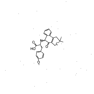 COc1ccc(C[C@H](N=C2C(=O)C3=C(CC(C)(C)CC3)c3ccccc32)C(=O)O)cc1